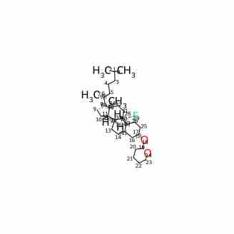 CC(C)CCC[C@@H](C)[C@H]1CC[C@H]2[C@@H]3CC=C4C[C@@H](OC5CCCCO5)CC[C@]4(CF)[C@H]3CC[C@]12C